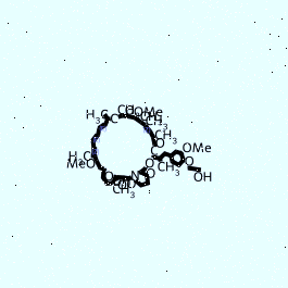 COC1CC2CCC(C)C(O)(O2)C(=O)C(=O)N2CCCCC2C(=O)OC(C(C)CC2CCC(OCCO)C(OC)C2)CC(=O)C(C)/C=C(/C)C(C)C(OC)C(=O)C(C)CC(C)/C=C/C=C/C=C\1C